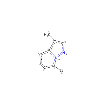 CCc1cccc2c(C)cnn12